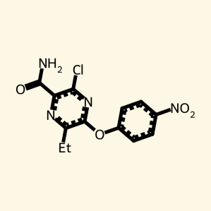 CCc1nc(C(N)=O)c(Cl)nc1Oc1ccc([N+](=O)[O-])cc1